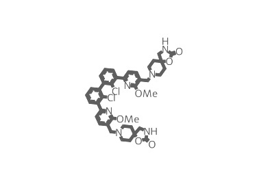 COc1nc(-c2cccc(-c3cccc(-c4ccc(CN5CCC6(CC5)CNC(=O)O6)c(OC)n4)c3Cl)c2Cl)ccc1CN1CCC2(CC1)CNC(=O)O2